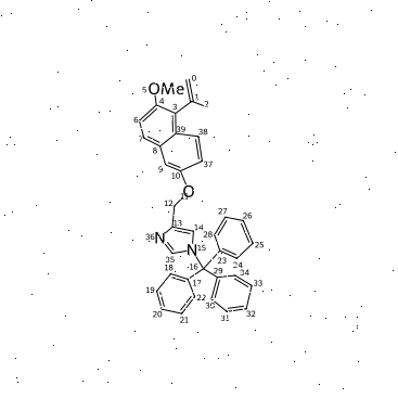 C=C(C)c1c(OC)ccc2cc(OCc3cn(C(c4ccccc4)(c4ccccc4)c4ccccc4)cn3)ccc12